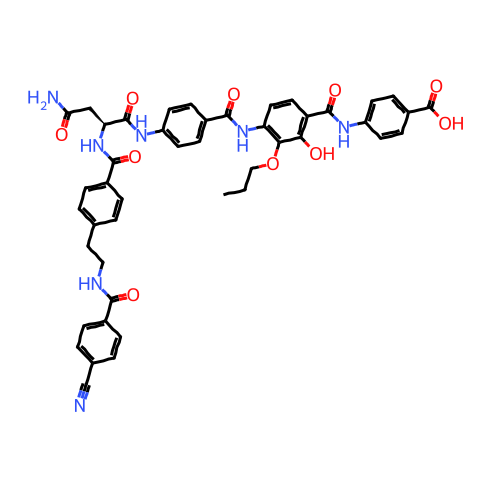 CCCOc1c(NC(=O)c2ccc(NC(=O)[C@H](CC(N)=O)NC(=O)c3ccc(CCNC(=O)c4ccc(C#N)cc4)cc3)cc2)ccc(C(=O)Nc2ccc(C(=O)O)cc2)c1O